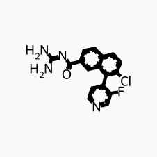 NC(N)=NC(=O)c1ccc2ccc(Cl)c(-c3ccncc3F)c2c1